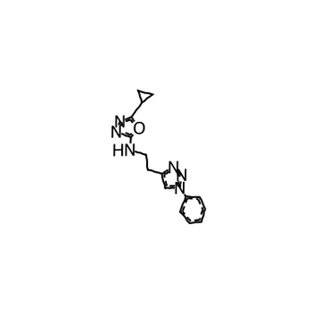 c1ccc(-n2cc(CCNc3nnc(C4CC4)o3)nn2)cc1